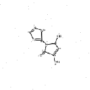 CC(C)(C)C1=CC(O)N(c2ncns2)C1=O